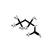 CC(C)(C)CC(C)(C)OC(=O)P